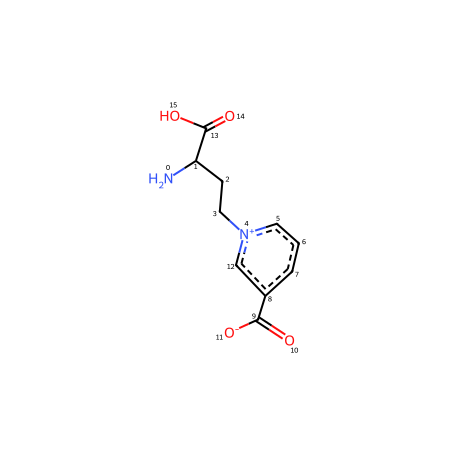 NC(CC[n+]1cccc(C(=O)[O-])c1)C(=O)O